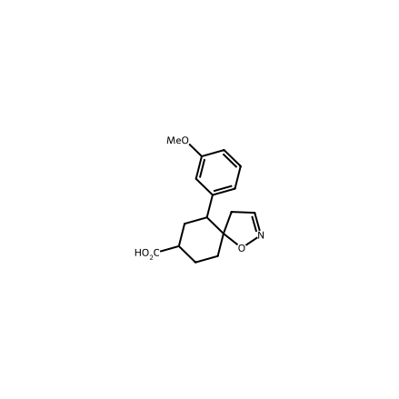 COc1cccc(C2CC(C(=O)O)CCC23CC=NO3)c1